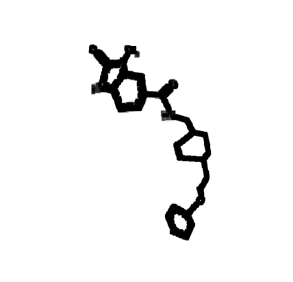 Cn1c(=O)[nH]c2ccc(C(=O)NCC3CCC(CCOc4ccccc4)CC3)cc21